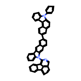 c1ccc(-n2c3ccccc3c3c4ccc(-c5ccc6cc7c(cc6c5)c5ccccc5n7-c5ncc6cccc7c6c5-c5ccccc5-7)cc4ccc32)cc1